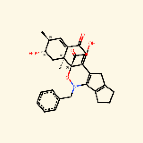 C[C@H]1C=C2C(=O)C=C3C4=C(C5=C(CCC5)C4)N(Cc4ccccc4)O[C@]3(C(=O)CO)[C@@]2(C)C[C@@H]1O